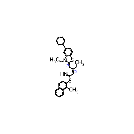 CCC(=C/C(=N)Sc1ccc2ccccc2c1C)/C=C1\Sc2ccc(-c3ccccc3)cc2N1CC